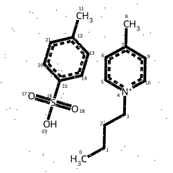 CCCC[n+]1ccc(C)cc1.Cc1ccc(S(=O)(=O)O)cc1